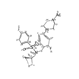 CC(=O)N1CCN(c2ccc(CN(C3CCC3)S(=O)(=O)c3ccc(F)cc3)c(F)c2)CC1